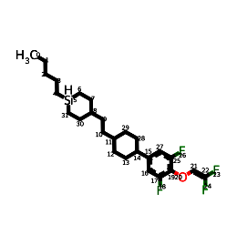 CCCCC[SiH]1CCC(CCC2CCC(c3cc(F)c(OC=C(F)F)c(F)c3)CC2)CC1